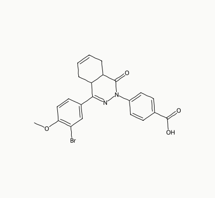 COc1ccc(C2=NN(c3ccc(C(=O)O)cc3)C(=O)C3CC=CCC23)cc1Br